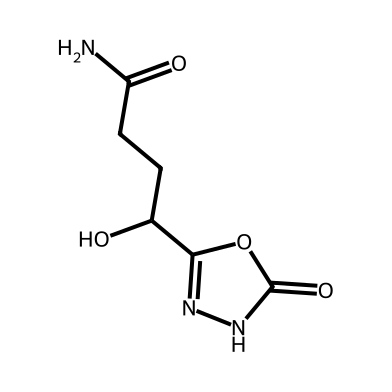 NC(=O)CCC(O)c1n[nH]c(=O)o1